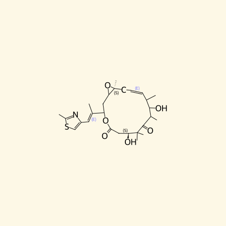 C/C(=C\c1csc(C)n1)C1CC2O[C@@]2(C)C/C=C/C(C)C(O)C(C)C(=O)C(C)(C)[C@@H](O)CC(=O)O1